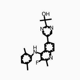 Cc1ccc(C)c(Nc2c(F)c(C)nc3ccc(-c4cnc(C(C)(C)O)nc4)cc23)c1